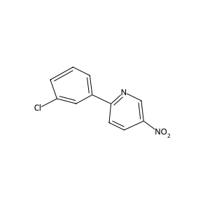 O=[N+]([O-])c1ccc(-c2cccc(Cl)c2)nc1